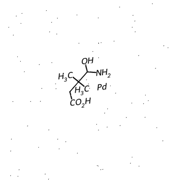 CC(C)(CC(=O)O)C(N)O.[Pd]